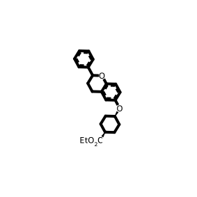 CCOC(=O)[C@H]1CC[C@@H](Oc2ccc3c(c2)CCC(c2ccccc2)O3)CC1